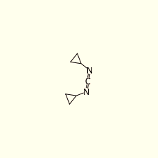 C(=NC1CC1)=NC1CC1